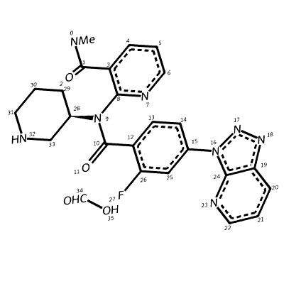 CNC(=O)c1cccnc1N(C(=O)c1ccc(-n2nnc3cccnc32)cc1F)[C@@H]1CCCNC1.O=CO